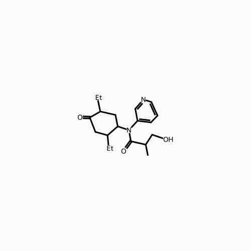 CCC1CC(N(C(=O)C(C)CO)c2cccnc2)C(CC)CC1=O